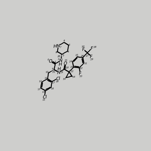 O=C(N[C@@H]1CCCNC1)[C@H](Cc1ccc(Cl)cc1Cl)NC(=O)C1(c2ccc(C(F)(F)F)cc2F)CC1